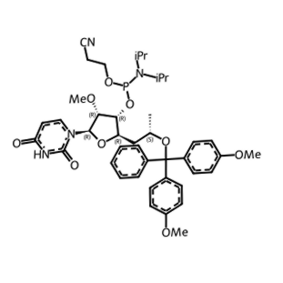 COc1ccc(C(O[C@@H](C)C[C@H]2O[C@@H](n3ccc(=O)[nH]c3=O)[C@H](OC)[C@@H]2OP(OCCC#N)N(C(C)C)C(C)C)(c2ccccc2)c2ccc(OC)cc2)cc1